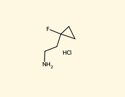 Cl.NCCC1(F)CC1